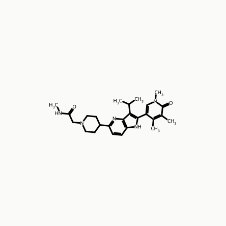 CNC(=O)CN1CCC(c2ccc3[nH]c(-c4cn(C)c(=O)c(C)c4C)c(C(C)C)c3n2)CC1